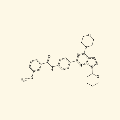 COc1cccc(C(=O)Nc2ccc(-c3nc(N4CCOCC4)c4cnn(C5CCCCO5)c4n3)cc2)c1